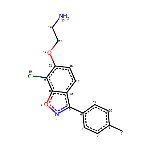 Cc1ccc(-c2noc3c(Cl)c(OCCN)ccc23)cc1